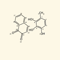 Cc1ccc(O)c(O)c1O.O=C1C=Cc2ccccc2C1=O